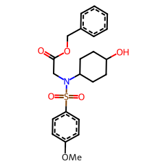 COc1ccc(S(=O)(=O)N(CC(=O)OCc2ccccc2)C2CCC(O)CC2)cc1